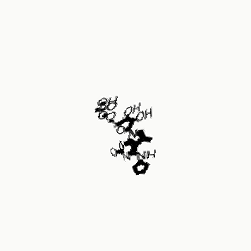 Cc1cn([C@@H]2O[C@H](COOP(C)(=O)O)[C@@H](O)[C@H]2O)c2nc(Cl)nc(NC3CCCC3)c12